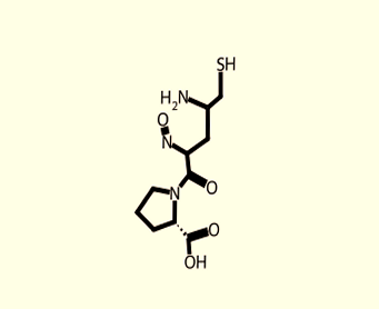 NC(CS)CC(N=O)C(=O)N1CCC[C@H]1C(=O)O